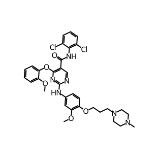 COc1cc(Nc2ncc(C(=O)Nc3c(Cl)cccc3Cl)c(Oc3ccccc3OC)n2)ccc1OCCCN1CCN(C)CC1